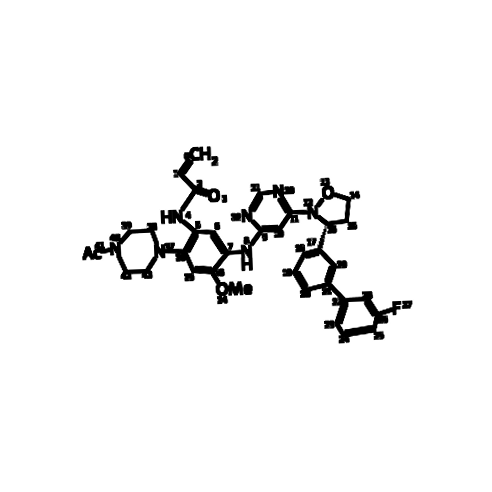 C=CC(=O)Nc1cc(Nc2cc(N3OCC[C@@H]3c3cccc(-c4cccc(F)c4)c3)ncn2)c(OC)cc1N1CCN(C(C)=O)CC1